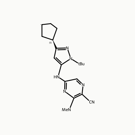 CNc1nc(Nc2cc([C@H]3C[CH]CC3)nn2C(C)(C)C)cnc1C#N